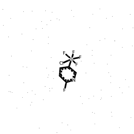 Fc1ccc(S(F)(F)(F)(F)Cl)cn1